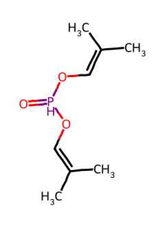 CC(C)=CO[PH](=O)OC=C(C)C